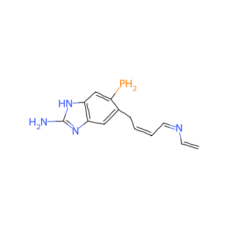 C=C/N=C\C=C/Cc1cc2nc(N)[nH]c2cc1P